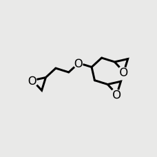 C(CC1CO1)OC(CC1CO1)CC1CO1